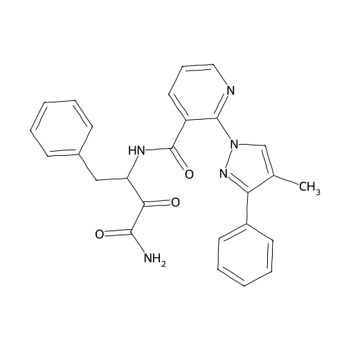 Cc1cn(-c2ncccc2C(=O)NC(Cc2ccccc2)C(=O)C(N)=O)nc1-c1ccccc1